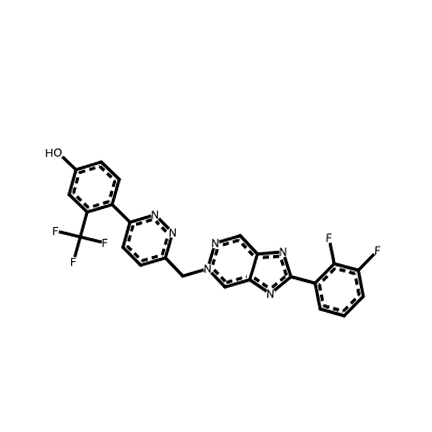 Oc1ccc(-c2ccc(Cn3cc4nc(-c5cccc(F)c5F)nc-4cn3)nn2)c(C(F)(F)F)c1